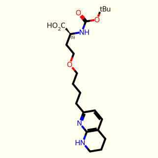 CC(C)(C)OC(=O)N[C@@H](CCOCCCCc1ccc2c(n1)NCCC2)C(=O)O